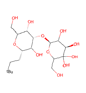 CC(C)(C)CC[C@@H]1OC(CO)[C@H](O)[C@H](O[C@@H]2OC(CO)C(O)(O)[C@H](O)C2O)C1O